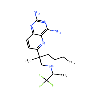 CCCCC(C)(CNC(C)C(F)(F)F)c1ccc2nc(N)nc(N)c2n1